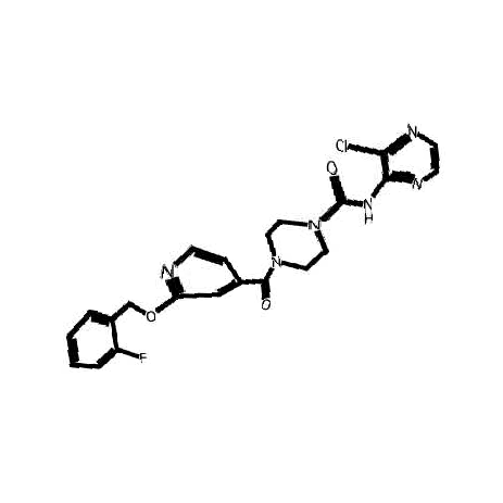 O=C(Nc1nccnc1Cl)N1CCN(C(=O)c2ccnc(OCc3ccccc3F)c2)CC1